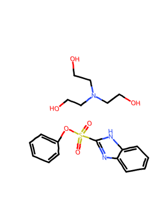 O=S(=O)(Oc1ccccc1)c1nc2ccccc2[nH]1.OCCN(CCO)CCO